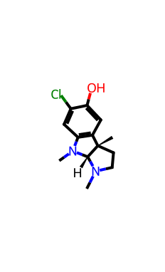 CN1CC[C@@]2(C)c3cc(O)c(Cl)cc3N(C)[C@@H]12